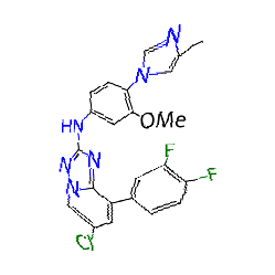 COc1cc(Nc2nc3c(-c4ccc(F)c(F)c4)cc(Cl)cn3n2)ccc1-n1cnc(C)c1